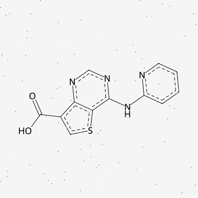 O=C(O)c1csc2c(Nc3ccccn3)ncnc12